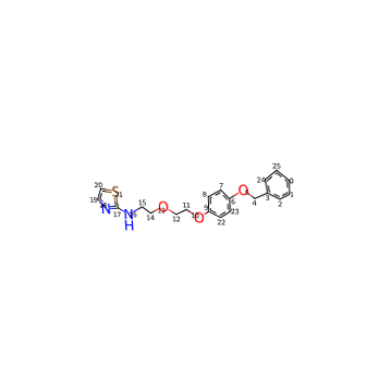 c1ccc(COc2ccc(OCCOCCNc3nccs3)cc2)cc1